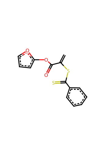 C=C(SC(=S)c1ccccc1)C(=O)Oc1ccco1